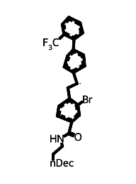 CCCCCCCCCCCCNC(=O)c1ccc(C[CH]c2ccc(-c3ccccc3C(F)(F)F)cc2)c(Br)c1